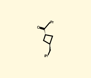 CC(C)C[C@H]1C[C@H](C(=O)C(C)C)C1